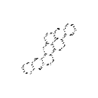 c1ccc2cc3c(ccc4c3cc3ccc5cc6ccccc6c6ccc4c3c56)cc2c1